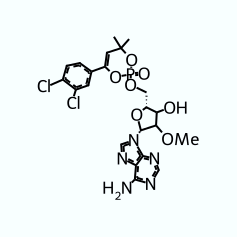 COC1C(O)[C@@H](COP2(=O)OC(c3ccc(Cl)c(Cl)c3)=CC(C)(C)O2)O[C@H]1n1cnc2c(N)ncnc21